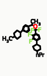 CCCC1CCC(c2ccc(C(F)(F)OC(C)c3ccc(C4CCC(C)CC4)cc3)c(F)c2F)CC1